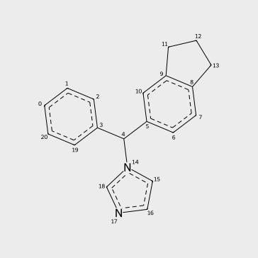 c1ccc(C(c2ccc3c(c2)CCC3)n2ccnc2)cc1